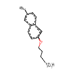 CCC(C)c1ccc2cc(OCCCS(=O)(=O)O)ccc2c1